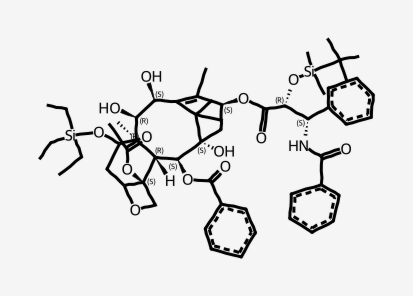 CC[Si](CC)(CC)OC1CC2OC[C@@]2(OC(C)=O)[C@H]2[C@H](OC(=O)c3ccccc3)[C@]3(O)C[C@H](OC(=O)[C@H](O[Si](C)(C)C(C)(C)C)[C@@H](NC(=O)c4ccccc4)c4ccccc4)C(C)=C([C@H](O)[C@H](O)[C@]12C)C3(C)C